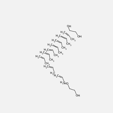 C=CC.C=CC.C=CC.C=CC.C=CC.C=CC.C=CC.C=CC.C=CC.OCCO.OCCO